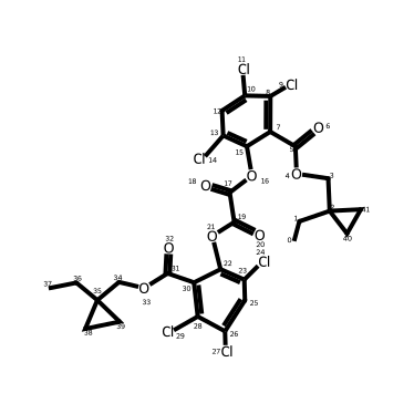 CCC1(COC(=O)c2c(Cl)c(Cl)cc(Cl)c2OC(=O)C(=O)Oc2c(Cl)cc(Cl)c(Cl)c2C(=O)OCC2(CC)CC2)CC1